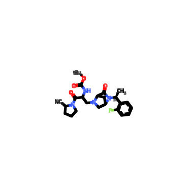 C[C@@H](c1ccccc1F)N1C(=O)C2CC1CN2CC(NC(=O)OC(C)(C)C)C(=O)N1CCCC1C#N